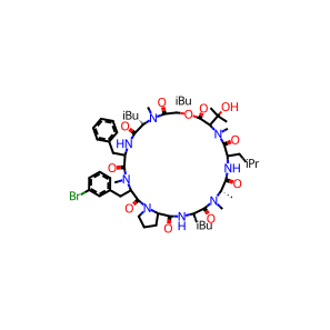 CCC(C)C1NC(=O)C2CCCN2C(=O)C(Cc2cccc(Br)c2)N(C)C(=O)C(Cc2ccccc2)NC(=O)C([C@@H](C)CC)N(C)C(=O)C([C@H](C)CC)OC(=O)C(C(C)(C)O)N(C)C(=O)C(CC(C)C)NC(=O)[C@H](C)N(C)C1=O